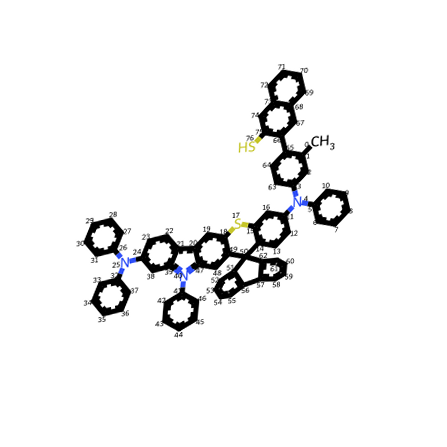 Cc1cc(N(c2ccccc2)c2ccc3c(c2)Sc2cc4c5ccc(N(c6ccccc6)c6ccccc6)cc5n(-c5ccccc5)c4cc2C32c3ccccc3-c3ccccc32)ccc1-c1cc2ccccc2cc1S